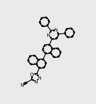 N#Cc1nnc(-c2ccc(-c3ccc(-c4cc(-c5ccccc5)nc(-c5ccccc5)n4)c4ccccc34)c3ccccc23)o1